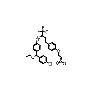 CCOC(c1ccc(Cl)cc1)c1ccc(Cl)cc1.O=C(CCc1ccc(OCC=S(=O)=O)cc1)C(F)(F)F